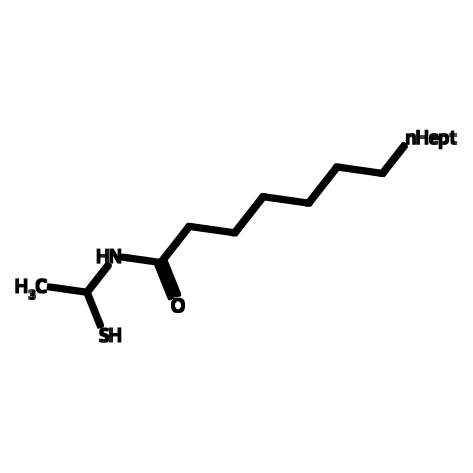 CCCCCCCCCCCCCC(=O)NC(C)S